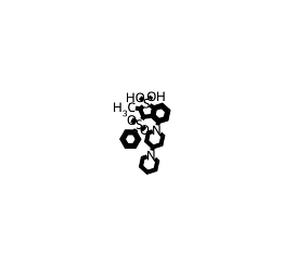 CC1C(S(=O)(=O)c2ccccc2)c2c(N3CCC(N4CCCCC4)CC3)cccc2S1(O)O